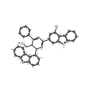 CCC1C(c2ccccc2)=NC(c2cc(Cl)c3c(c2)oc2ccccc23)=NC1c1cccc2sc3ccccc3c12